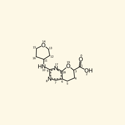 O=C(O)C1CCc2cnc(NC3CCOCC3)nc2O1